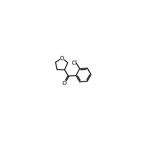 O=C(c1ccccc1Cl)C1CCOC1